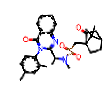 Cc1ccc(-n2c(C(C)N(C)S(=O)(=O)CC34CCC(CC3=O)C4(C)C)nc3ccccc3c2=O)c(C)c1